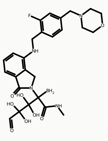 BC(C(=O)NC)(N1Cc2c(NCc3ccc(CN4CCOCC4)cc3F)cccc2C1=O)C(O)(O)C(O)(O)C=O